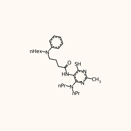 CCCCCCN(CCCC(=O)Nc1c(S)nc(C)nc1N(CCC)CCC)c1ccccc1